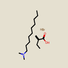 Br.C=C(CC)C(=O)O.CCCCCCCCCCN(C)C